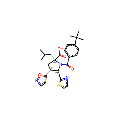 CC(C)C[C@@]1(C(=O)O)C[C@@H](c2ccno2)[C@H](c2nccs2)N1C(=O)c1ccc(C(C)(C)C)cc1